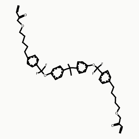 C=CC(=O)COCCCCCc1ccc(C(F)(F)Oc2ccc(C(C)(C)c3ccc(OC(F)(F)c4ccc(CCCCCOCC(=O)C=C)cc4)cc3)cc2)cc1